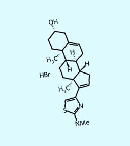 Br.CNc1nc(C2=CC[C@H]3[C@@H]4CC=C5C[C@@H](O)CC[C@]5(C)[C@H]4CC[C@]23C)cs1